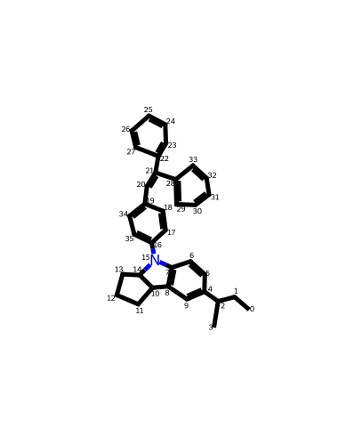 CCC(C)c1ccc2c(c1)C1CCCC1N2c1ccc(C=C(c2ccccc2)c2ccccc2)cc1